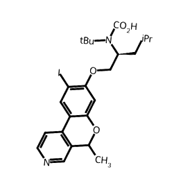 CC(C)C[C@@H](COc1cc2c(cc1I)-c1ccncc1C(C)O2)N(C(=O)O)C(C)(C)C